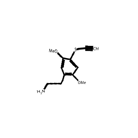 C#CSc1cc(OC)c(CCN)cc1OC